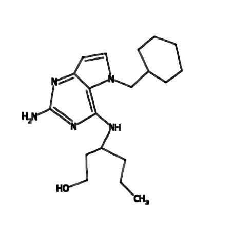 CCCC(CCO)Nc1nc(N)nc2ccn(CC3CCCCC3)c12